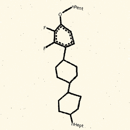 CCCCCCCC1CCC(C2CCC(c3ccc(OCCCCC)c(F)c3F)CC2)CC1